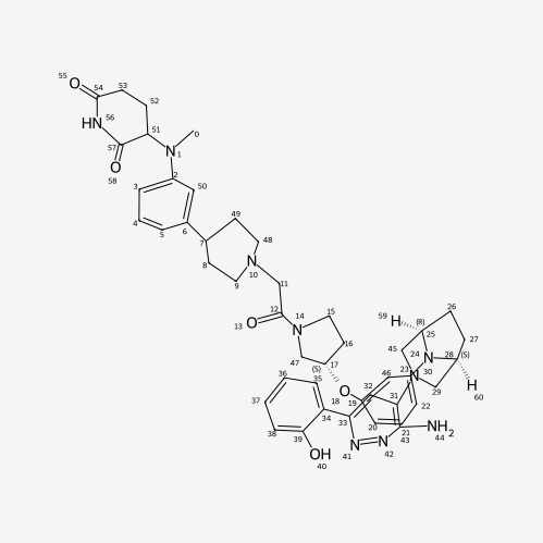 CN(c1cccc(C2CCN(CC(=O)N3CC[C@H](Oc4cccc(N5[C@@H]6CC[C@H]5CN(c5cc(-c7ccccc7O)nnc5N)C6)c4)C3)CC2)c1)C1CCC(=O)NC1=O